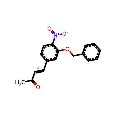 CC(=O)/C=C/c1ccc([N+](=O)[O-])c(OCc2ccccc2)c1